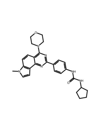 Cn1ccc2c3nc(-c4ccc(NC(=O)NC5CCCC5)cc4)nc(N4CCOCC4)c3ccc21